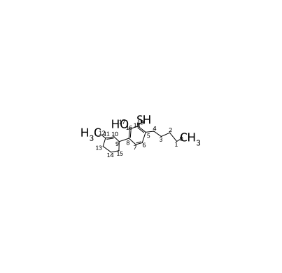 CCCCCc1ccc(C2C=C(C)CCC2)c(O)c1S